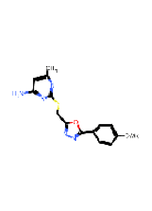 COc1ccc(-c2nnc(CSc3nc(C)cc(N)n3)o2)cc1